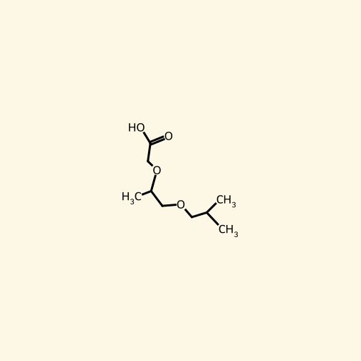 CC(C)COCC(C)OCC(=O)O